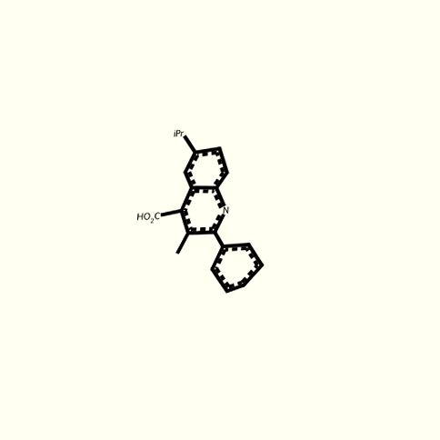 Cc1c(-c2ccccc2)nc2ccc(C(C)C)cc2c1C(=O)O